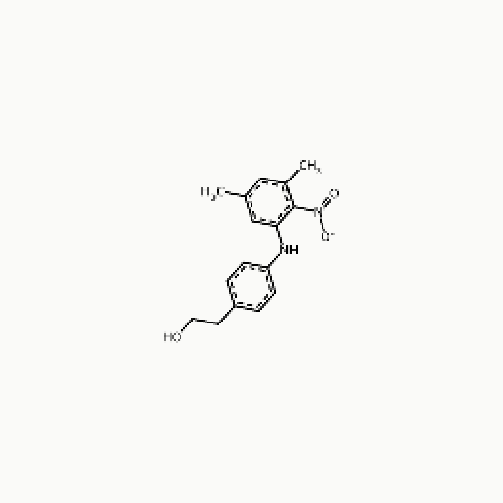 Cc1cc(C)c([N+](=O)[O-])c(Nc2ccc(CCO)cc2)c1